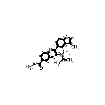 COC(=O)c1ccc2nc(C3=CCC4=NC=C(C)C4=C3)c(N(C)C(C)C)nc2c1